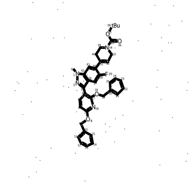 Cn1nc(-c2ccc(OCc3ccccc3)nc2OCc2ccccc2)c2cc(F)c(C3=CCN(C(=O)OC(C)(C)C)CC3)cc21